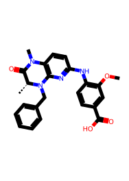 COc1cc(C(=O)O)ccc1Nc1ccc2c(n1)N(Cc1ccccc1)[C@H](C)C(=O)N2C